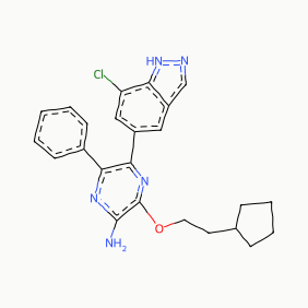 Nc1nc(-c2ccccc2)c(-c2cc(Cl)c3[nH]ncc3c2)nc1OCCC1CCCC1